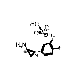 N[C@@H]1C[C@H]1c1ccc(F)c(F)c1.O=S(=O)(O)O